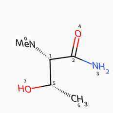 CN[C@H](C(N)=O)[C@H](C)O